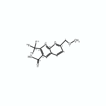 COCc1ccc2cc(C(=O)O)c(C(F)(F)F)nc2n1